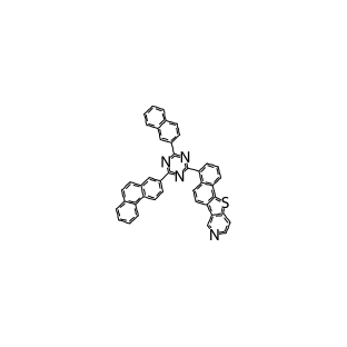 c1ccc2cc(-c3nc(-c4ccc5c(ccc6ccccc65)c4)nc(-c4cccc5c4ccc4c6cnccc6sc54)n3)ccc2c1